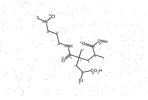 CCC(CC(C)(CC(C)C(=O)OC)C(=O)NCCCN(C)Cl)C(=O)O